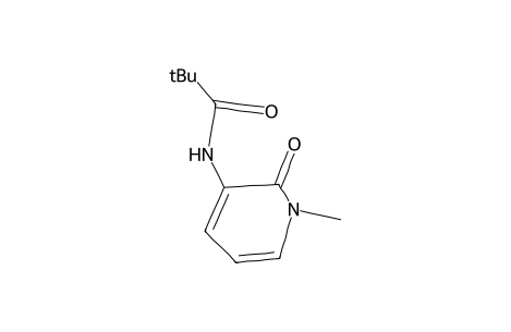 Cn1cccc(NC(=O)C(C)(C)C)c1=O